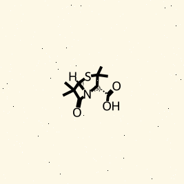 CC1(C)S[C@H]2N(C(=O)C2(C)C)[C@H]1C(=O)O